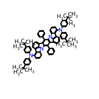 CC(C)(C)C1=CC=C(N(c2ccc(C(C)(C)C)cc2)c2cccc3c2c2cccc4c5c(-c6ccccc6)c6c(c(-c7ccccc7)c5n3c24)c2cccc3c2n6C2CC=CC(N(c4ccc(C(C)(C)C)cc4)c4ccc(C(C)(C)C)cc4)=C32)CC1